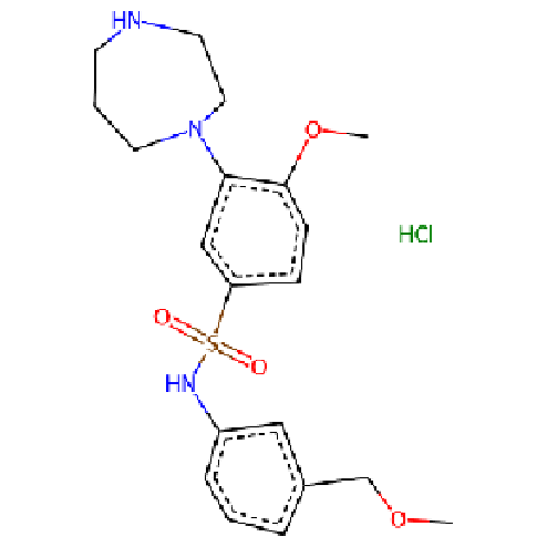 COCc1cccc(NS(=O)(=O)c2ccc(OC)c(N3CCCNCC3)c2)c1.Cl